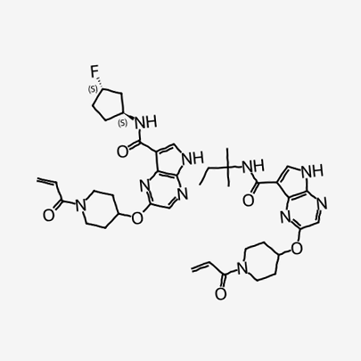 C=CC(=O)N1CCC(Oc2cnc3[nH]cc(C(=O)NC(C)(C)CC)c3n2)CC1.C=CC(=O)N1CCC(Oc2cnc3[nH]cc(C(=O)N[C@H]4CC[C@H](F)C4)c3n2)CC1